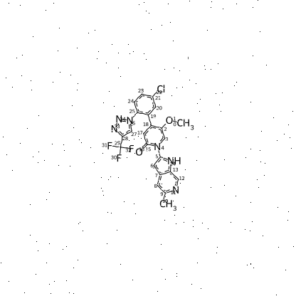 COc1cn(-c2[c]c3cc(C)ncc3[nH]2)c(=O)cc1-c1cc(Cl)ccc1-n1cc(C(F)(F)F)nn1